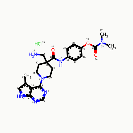 Cc1c[nH]c2ncnc(N3CCC(CN)(C(=O)Nc4ccc(OC(=O)N(C)C)cc4)CC3)c12.Cl